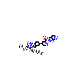 C/N=C(\NC(C)=O)c1cc2cc(-c3ccnc(C(=O)NCc4ccncc4)c3)ccc2[nH]1